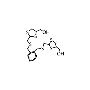 OCC1CSC(CSCc2ccccc2CSCC2SCC(CO)S2)S1